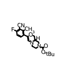 Cc1c(C2=CN3CCN(C(=O)OC(C)(C)C)C[C@H]3CO2)ccc(F)c1C#N